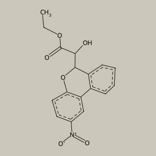 CCOC(=O)C(O)C1Oc2ccc([N+](=O)[O-])cc2-c2ccccc21